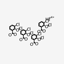 O=C([O-])c1cccc(Cl)c1OCl.O=C([O-])c1cccc(Cl)c1OCl.O=C([O-])c1cccc(Cl)c1OCl.O=C([O-])c1cccc(Cl)c1OCl.[Hf+4]